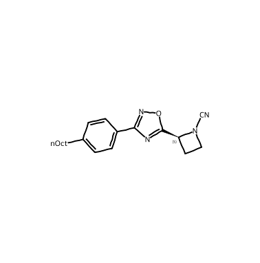 CCCCCCCCc1ccc(-c2noc([C@@H]3CCN3C#N)n2)cc1